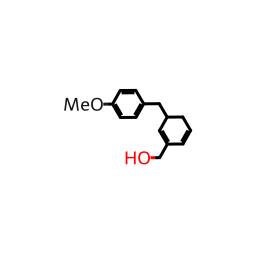 COc1ccc(CC2C=C(CO)C=CC2)cc1